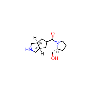 O=C(C1C[C@H]2CNC[C@H]2C1)N1CCC[C@@H]1CO